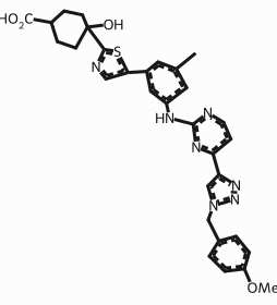 COc1ccc(Cn2cc(-c3ccnc(Nc4cc(C)cc(-c5cnc(C6(O)CCC(C(=O)O)CC6)s5)c4)n3)nn2)cc1